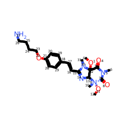 COC12C(=O)N(C)C(=O)[N+](C)(OC)C1N=C(C=Cc1ccc(OCCCCN)cc1)N2C